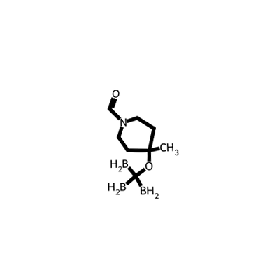 BC(B)(B)OC1(C)CCN(C=O)CC1